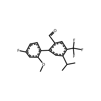 COc1cc(F)ccc1-c1cc(C(C)C)c(C(F)(F)F)cc1C=O